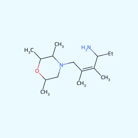 CCC(N)/C(C)=C(/C)CN1CC(C)OC(C)C1C